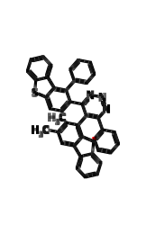 Cc1cc2c(c(-c3c(-c4ccccc4)nnnc3-c3ccc4sc5ccccc5c4c3-c3ccccc3)c1C)Cc1ccccc1-2